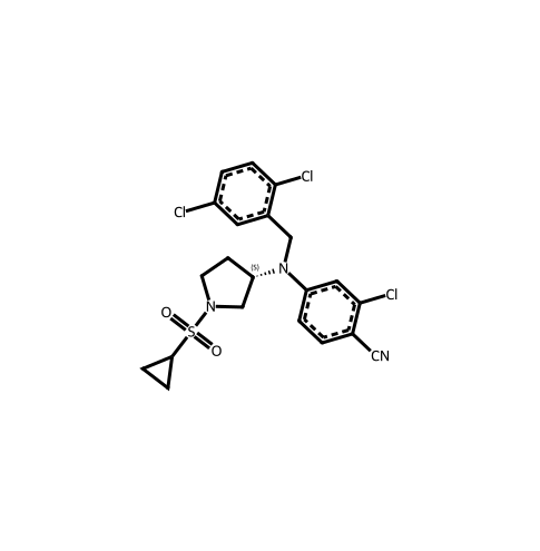 N#Cc1ccc(N(Cc2cc(Cl)ccc2Cl)[C@H]2CCN(S(=O)(=O)C3CC3)C2)cc1Cl